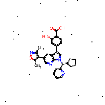 Cc1noc(C)c1-c1cnc2c(c1)c(-c1ccc(C(=O)O)c(O)c1)cn2C(c1ccccn1)C1CCCC1